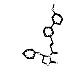 COc1cccc(-c2cccc(/C=C/C(=O)N3C(=O)OCC3Cc3ccccc3)c2)c1